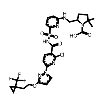 CC1(C)CCC(CNc2cccc(S(=O)(=O)NC(=O)c3ccc(-n4ccc(OCCC5(C(F)(F)F)CC5)n4)nc3Cl)n2)N1C(=O)O